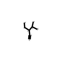 C#CC(CC)C([CH2])C